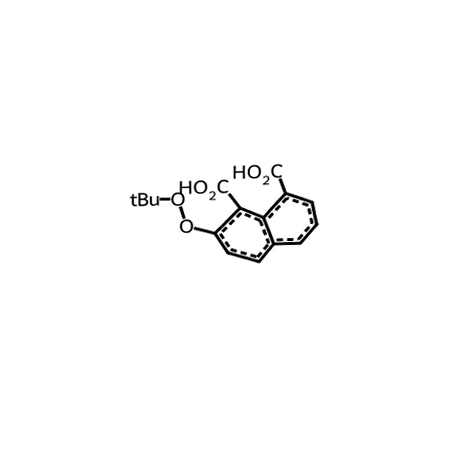 CC(C)(C)OOc1ccc2cccc(C(=O)O)c2c1C(=O)O